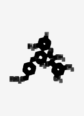 CCOC(=O)C[C@H]1CC[C@H](CN2CC[C@H](C(=O)N(C)C(C)c3cc(C(F)(F)F)cc(C(F)(F)F)c3)[C@@H](c3ccc(F)cc3C)C2)CC1